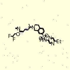 C=N/C(=C\C=C\[C@@H](C)N1CCc2ccc(S(=O)(=O)Nc3cnc(CC)cn3)cc2C1)OCC(F)F